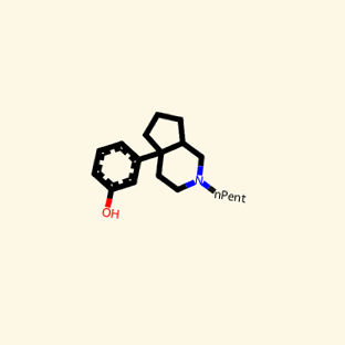 CCCCCN1CCC2(c3cccc(O)c3)CCCC2C1